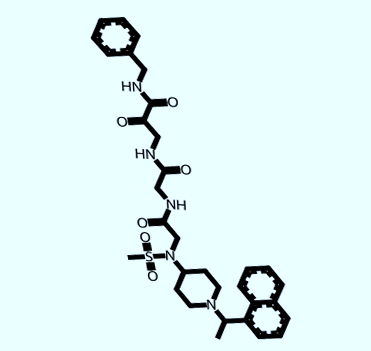 CC(c1cccc2ccccc12)N1CCC(N(CC(=O)NCC(=O)NCC(=O)C(=O)NCc2ccccc2)S(C)(=O)=O)CC1